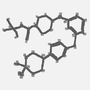 CC(C)(C)OC(=O)N1CCC(Oc2cc(Oc3ccc(C4COS(O)(O)OC4)cc3)ncn2)CC1